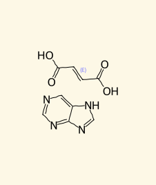 O=C(O)/C=C/C(=O)O.c1ncc2[nH]cnc2n1